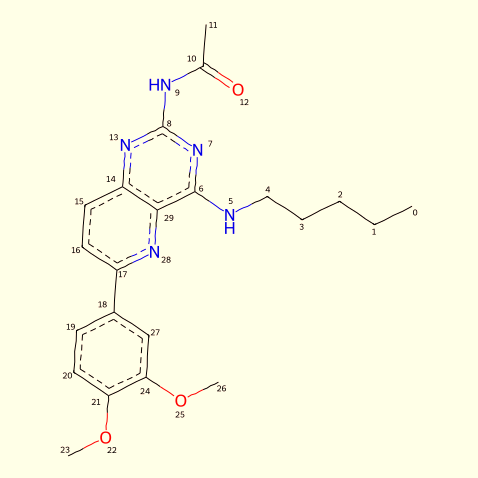 CCCCCNc1nc(NC(C)=O)nc2ccc(-c3ccc(OC)c(OC)c3)nc12